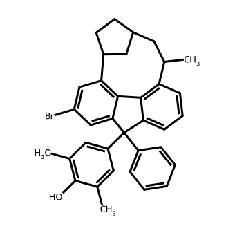 Cc1cc(C2(c3ccccc3)c3cccc4c3-c3c(cc(Br)cc32)C2CCC(CC4C)C2)cc(C)c1O